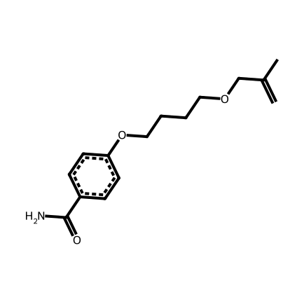 C=C(C)COCCCCOc1ccc(C(N)=O)cc1